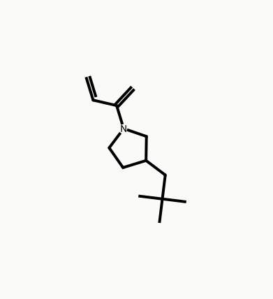 C=CC(=C)N1CCC(CC(C)(C)C)C1